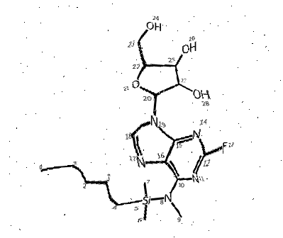 CCCCC[Si](C)(C)N(C)c1nc(F)nc2c1ncn2C1OC(CO)C(O)C1O